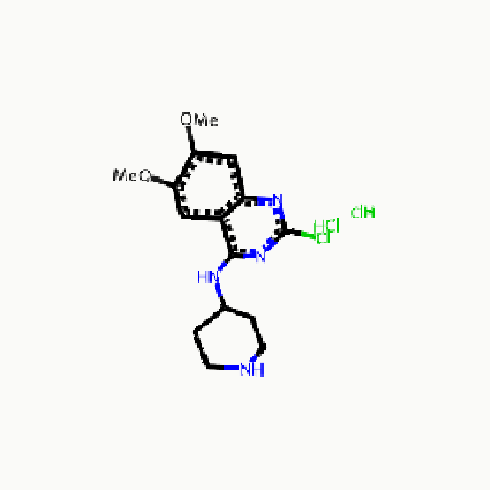 COc1cc2nc(Cl)nc(NC3CCNCC3)c2cc1OC.Cl.Cl